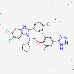 Cc1cc(-c2nnn[nH]2)cc(C)c1OCC(C1CCCC1)n1c(-c2ccc(Cl)cc2)nc2cc(F)c(F)cc21